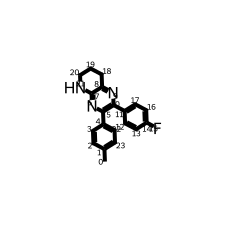 Cc1ccc(-c2nc3c(nc2-c2ccc(F)cc2)CCCN3)cc1